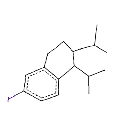 CC(C)C1CCc2cc(I)ccc2C1C(C)C